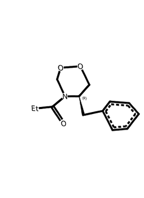 CCC(=O)N1COOC[C@H]1Cc1ccccc1